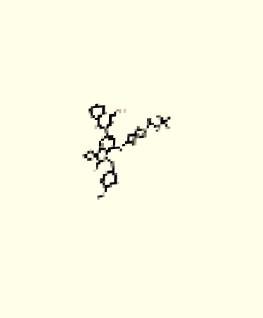 COc1ccc(CN2C(=O)C3(CCC3)c3cc(/C(=C/C=N)Nc4ccccc4)cc(OC4CC5(C4)CN(C(=O)OC(C)(C)C)C5)c32)cc1